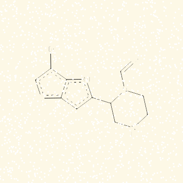 O=CN1CCNCC1c1cc2scc(Br)c2[nH]1